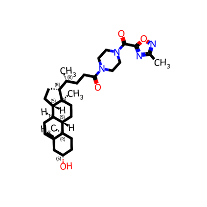 Cc1noc(C(=O)N2CCN(C(=O)CC[C@@H](C)[C@H]3CC[C@H]4[C@@H]5CC=C6C[C@@H](O)CC[C@]6(C)[C@H]5CC[C@]34C)CC2)n1